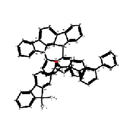 CC1(C)c2ccccc2-c2ccc(-c3nc(-c4cccc(-c5ccccc5)c4)nc(-n4c5ccccc5c5ccc6c7ccccc7n(-c7cccc(-c8ccccc8)c7)c6c54)n3)cc21